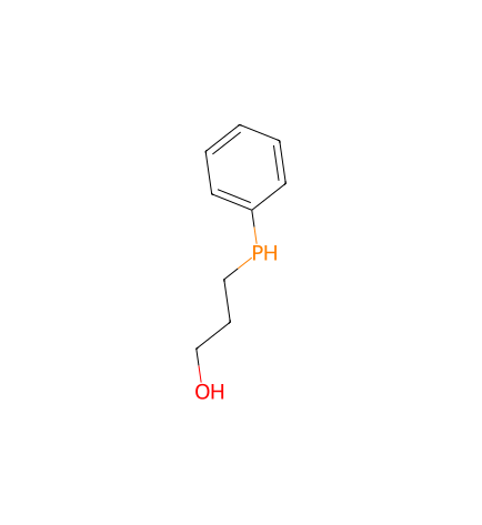 OCCCPc1ccccc1